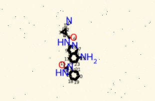 N#C[C@H]1C[C@@H]1C(=O)Nc1cc2cc(-n3c(=O)[nH]c4ccccc43)cc(N)c2cn1